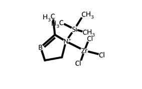 CC1=BCC[N+]1([Si](C)(C)C)[Zr]([Cl])([Cl])[Cl]